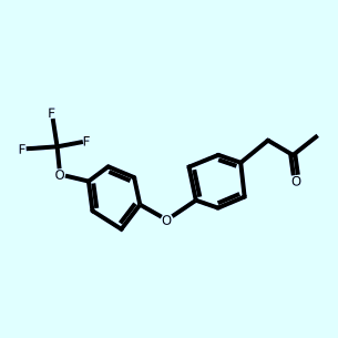 CC(=O)Cc1ccc(Oc2ccc(OC(F)(F)F)cc2)cc1